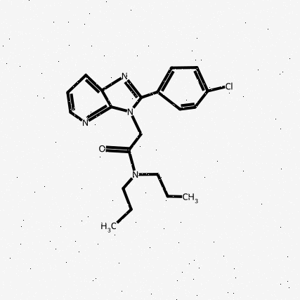 CCCN(CCC)C(=O)Cn1c(-c2ccc(Cl)cc2)nc2cccnc21